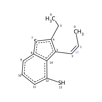 C/C=C\c1c(CC)sc2cccc(S)c12